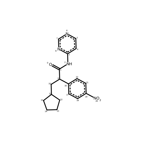 O=C(Nc1ccncn1)C(CC1CCCC1)c1ccc([N+](=O)[O-])cc1